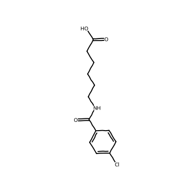 O=C(O)CCCCCNC(=O)c1ccc(Cl)cc1